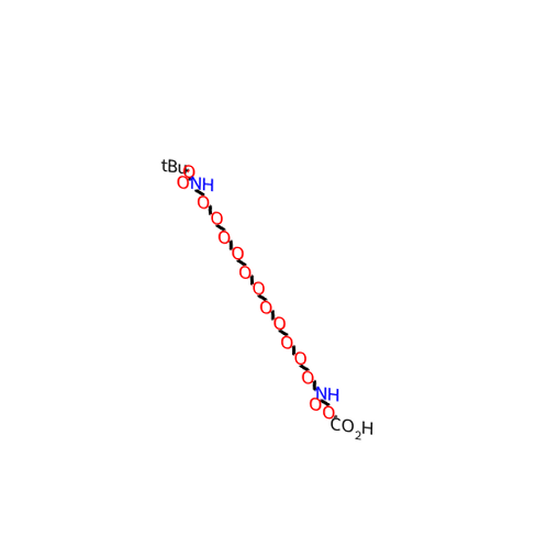 CC(C)(C)OC(=O)NCCOCCOCCOCCOCCOCCOCCOCCOCCOCCOCCOCCNC(=O)COCC(=O)O